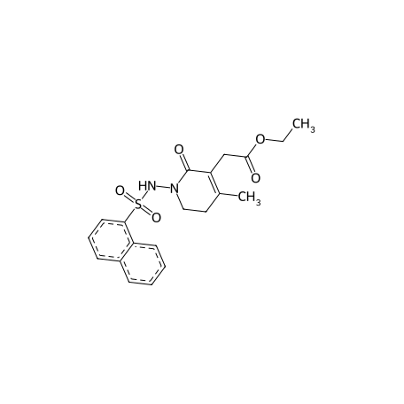 CCOC(=O)CC1=C(C)CCN(NS(=O)(=O)c2cccc3ccccc23)C1=O